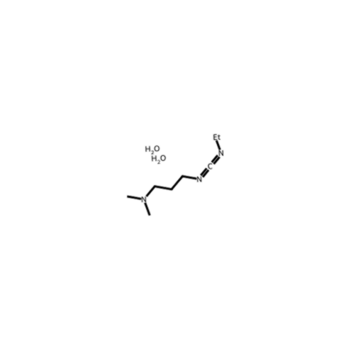 CCN=C=NCCCN(C)C.O.O